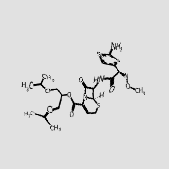 CO/N=C(\C(=O)NC1C(=O)N2C(C(=O)OC(COC(C)C)COC(C)C)=CCS[C@H]12)c1csc(N)n1